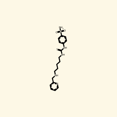 NS(=O)(=O)c1ccc(NC(=S)NCCCCCNCc2ccccn2)cc1